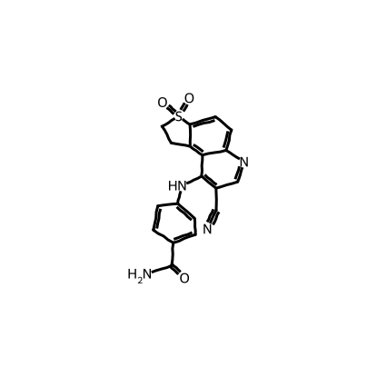 N#Cc1cnc2ccc3c(c2c1Nc1ccc(C(N)=O)cc1)CCS3(=O)=O